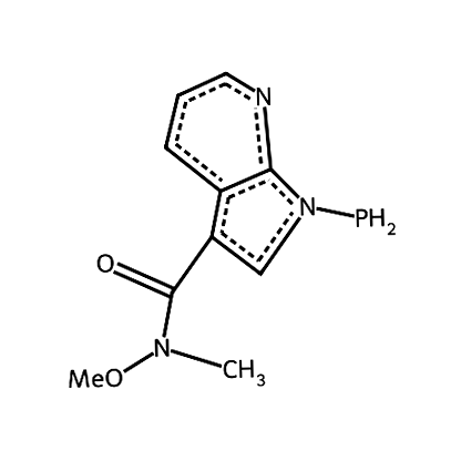 CON(C)C(=O)c1cn(P)c2ncccc12